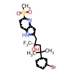 CC(C)(C[C@@](O)(Cc1cc2nc(S(C)(=O)=O)ccc2[nH]1)C(F)(F)F)c1cccc(Br)c1